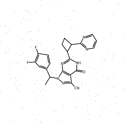 CC(c1ccc(F)c(F)c1)n1nc(C#N)c2c(=O)[nH]c(C3CCC3c3ncccn3)nc21